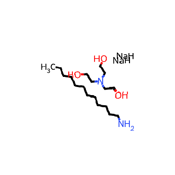 CCCCCCCCCCCCN.OCCN(CCO)CCO.[NaH].[NaH]